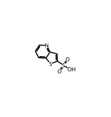 O=S(=O)(O)c1cc2ncccc2s1